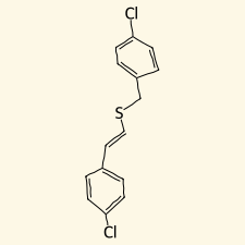 Clc1ccc(/C=C/SCc2ccc(Cl)cc2)cc1